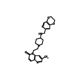 O=c1ccc2ncc(C(F)(F)F)cc2n1CCN1CCC(NCc2cc3c(cn2)OCCO3)CC1